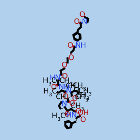 CO[C@H]([C@@H](C)C(=O)N[C@@H](Cc1ccccc1)C(=O)O)[C@@H]1CCCN1C(=O)C[C@@H](OC)[C@H]([C@@H](C)C(C)C)N(C)C(=O)[C@@H](NC(=O)C(C)(C)NC(=O)CCOCCOCCC(=O)Nc1ccc(CCC(=O)N2CCC2=O)cc1)C(C)C